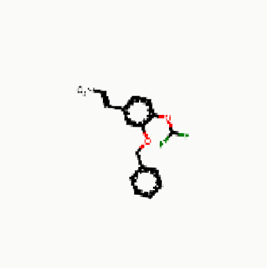 O=[N+]([O-])C=Cc1ccc(OC(F)F)c(OCc2ccccc2)c1